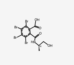 C[C@H](CO)NC(=O)c1c(Br)c(Br)c(Br)c(Br)c1C(=O)O